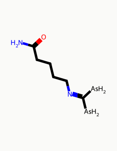 NC(=O)CCCCN=C([AsH2])[AsH2]